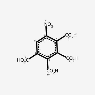 O=C(O)c1cc([N+](=O)[O-])c(C(=O)O)c(C(=O)O)c1C(=O)O